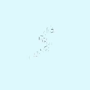 CCc1ccn(C2(CC#N)CN(c3cccn4nc(Nc5cnn(CC(=O)N6CCN(C)CC6)c5)nc34)C2)c1